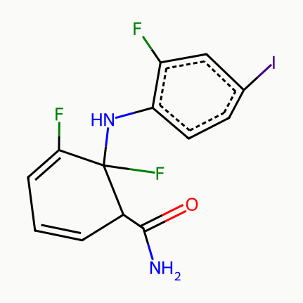 NC(=O)C1C=CC=C(F)C1(F)Nc1ccc(I)cc1F